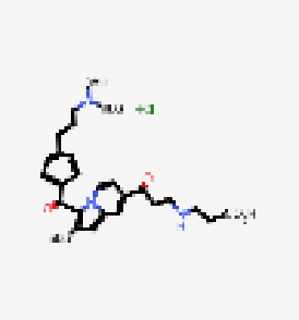 CCCCc1cc2cc(C(=O)CCNCCC(=O)O)ccn2c1C(=O)c1ccc(CCCN(CCCC)CCCC)cc1.Cl